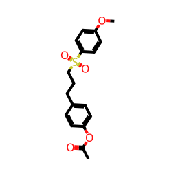 COc1ccc(S(=O)(=O)CCCc2ccc(OC(C)=O)cc2)cc1